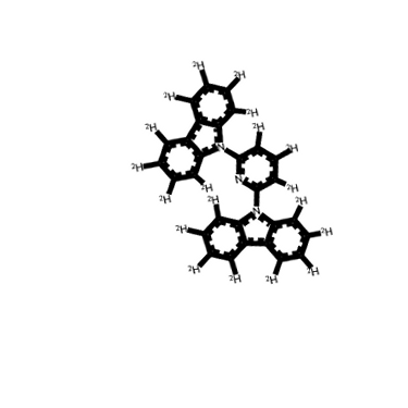 [2H]c1c(-n2c3c([2H])c([2H])c([2H])c([2H])c3c3c([2H])c([2H])c([2H])c([2H])c32)nc(-n2c3c([2H])c([2H])c([2H])c([2H])c3c3c([2H])c([2H])c([2H])c([2H])c32)c([2H])c1[2H]